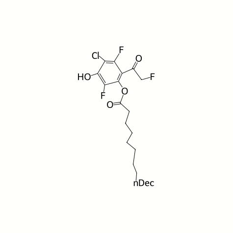 CCCCCCCCCCCCCCCCCC(=O)Oc1c(F)c(O)c(Cl)c(F)c1C(=O)CF